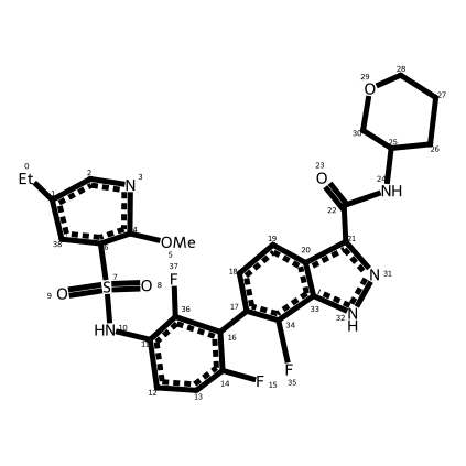 CCc1cnc(OC)c(S(=O)(=O)Nc2ccc(F)c(-c3ccc4c(C(=O)NC5CCCOC5)n[nH]c4c3F)c2F)c1